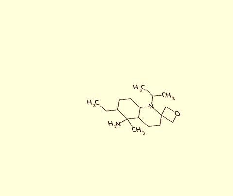 CCC1CCC2C(CCC3(COC3)N2C(C)C)C1(C)N